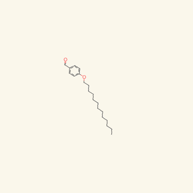 CCCCCCCCCCCCCOc1ccc(C=O)cc1